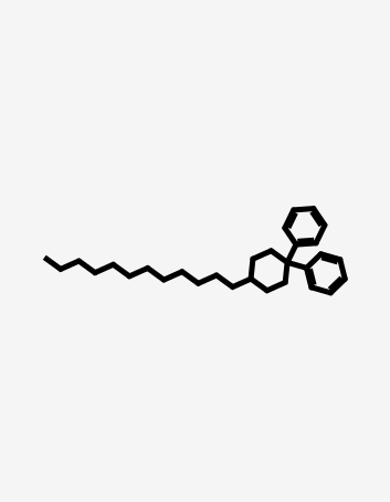 CCCCCCCCCCCCC1CCC(c2ccccc2)(c2ccccc2)CC1